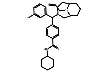 C=CCN1C2CCCC1CN(C(c1ccc(C(=O)NC3CCCCC3)cc1)c1cccc(CC)c1)CC2